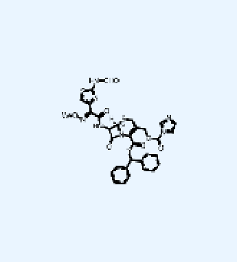 CON=C(C(=O)NC1C(=O)N2C(C(=O)OC(c3ccccc3)c3ccccc3)=C(COC(=O)n3ccnc3)CS[C@@H]12)c1csc(NC=O)n1